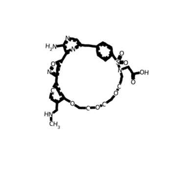 CNCc1ccc2cc1OCCOCCOCCN(CC(=O)O)S(=O)(=O)c1ccc(cc1)-c1cnc(N)c(n1)-c1cc-2no1